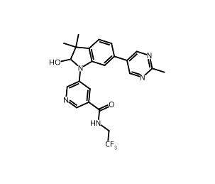 Cc1ncc(-c2ccc3c(c2)N(c2cncc(C(=O)NCC(F)(F)F)c2)C(O)C3(C)C)cn1